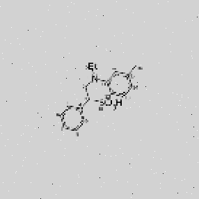 CCN(CC(c1ccccc1)S(=O)(=O)O)c1cccc(C)c1